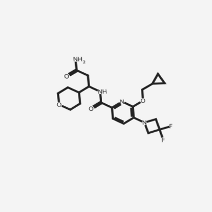 NC(=O)CC(NC(=O)c1ccc(N2CC(F)(F)C2)c(OCC2CC2)n1)C1CCOCC1